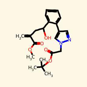 C=C(CC(O)c1ccccc1-c1cnn(CC(=O)OC(C)(C)C)c1)C(=O)OC